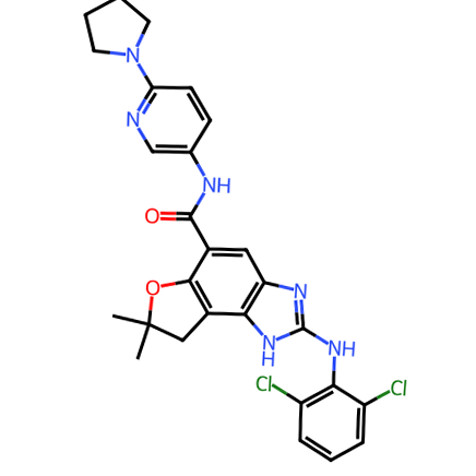 CC1(C)Cc2c(c(C(=O)Nc3ccc(N4CCCC4)nc3)cc3nc(Nc4c(Cl)cccc4Cl)[nH]c23)O1